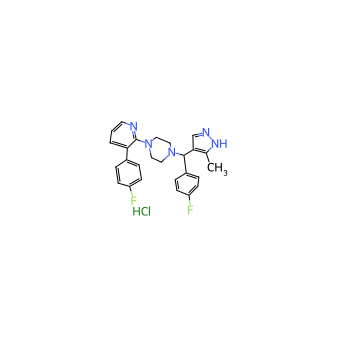 Cc1[nH]ncc1C(c1ccc(F)cc1)N1CCN(c2ncccc2-c2ccc(F)cc2)CC1.Cl